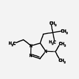 CCN1N=CN(C(C)C)C1CC(C)(C)C